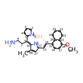 Bn1cccc1/C(CCN)=C1N=C(/C=C/c2ccc(OC)c3ccccc23)C=C\1C